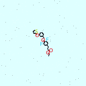 CCOC(=O)CCc1cc(F)c(OCc2cccc(Oc3cccs3)c2)c(F)c1